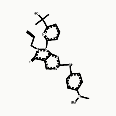 C=CCn1c(=O)c2cnc(Nc3ccc(N(C)C(C)(C)C)cc3)nc2n1-c1cccc(C(C)(C)O)n1